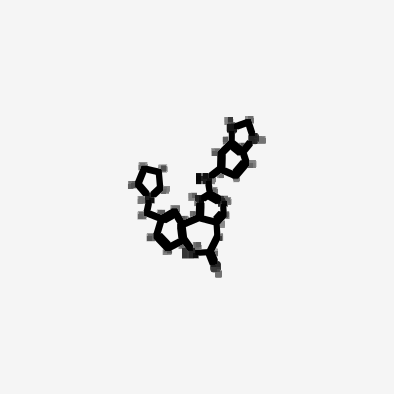 O=C1Cc2cnc(Nc3ccc4c(c3)OCO4)nc2-c2cc(CN3CCCC3)ccc2N1